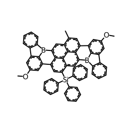 COc1cc2c3c(c1)-c1cc(C)c4cc5c6c(cc([Si](c7ccccc7)(c7ccccc7)c7ccccc7)c7cc(c1c4c76)B3c1ccccc1-2)-c1cc(OC)cc2c1B5c1ccccc1-2